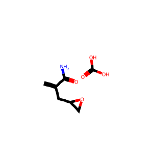 C=C(CC1CO1)C(N)=O.O=C(O)O